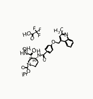 Cc1cc(COc2ccc(C(=O)N[C@@H]3CCN(C(=O)OC(C)C)C[C@@H]3C(=O)NO)cc2)c2ccccc2n1.O=C(O)C(F)(F)F